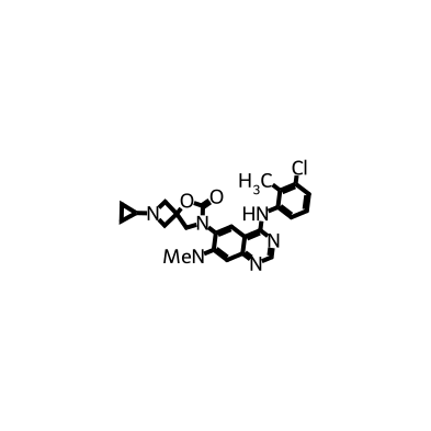 CNc1cc2ncnc(Nc3cccc(Cl)c3C)c2cc1N1CC2(CN(C3CC3)C2)OC1=O